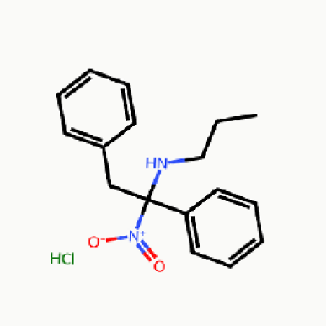 CCCNC(Cc1ccccc1)(c1ccccc1)[N+](=O)[O-].Cl